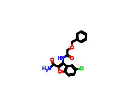 NC(=O)c1oc2ccc(Cl)cc2c1NC(=O)COCc1ccccc1